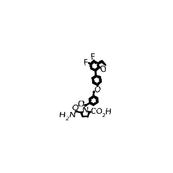 NC(=O)C1CCC(C(=O)O)N1C(=O)c1cccc(COc2ccc(-c3cc(F)c(F)c4ccoc34)cc2)c1